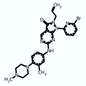 C=CCn1c(=O)c2cnc(Nc3ccc(N4CCN(C)CC4)c(C)c3)nc2n1-c1cccc(Br)n1